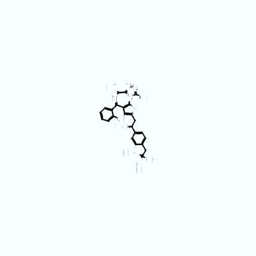 Cc1nnc2n1-c1sc(CC(O)c3ccc(CC(C)(C)O)cc3)cc1C(c1ccccc1Cl)=NC2C